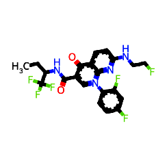 CCC(NC(=O)c1cn(-c2ccc(F)cc2F)c2nc(NCCF)ccc2c1=O)C(F)(F)F